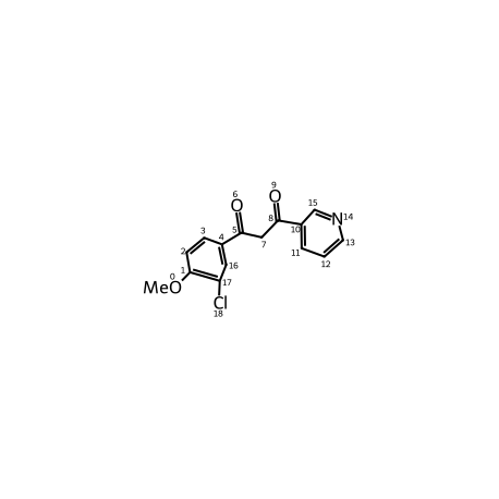 COc1ccc(C(=O)CC(=O)c2cccnc2)cc1Cl